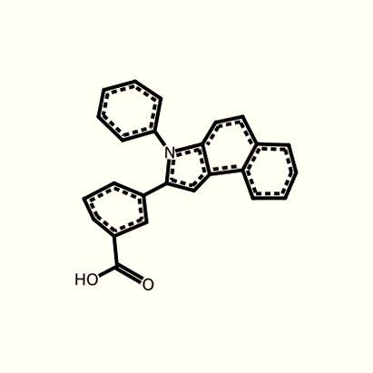 O=C(O)c1cccc(-c2cc3c4ccccc4ccc3n2-c2ccccc2)c1